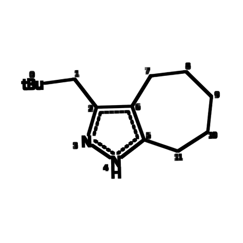 CC(C)(C)Cc1n[nH]c2c1CCCCC2